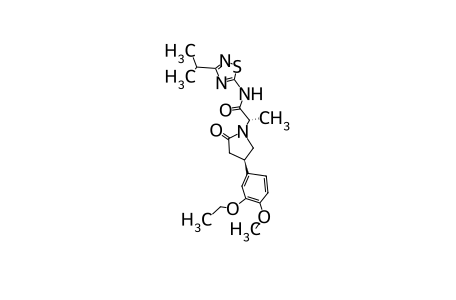 CCOc1cc([C@H]2CC(=O)N([C@@H](C)C(=O)Nc3nc(C(C)C)ns3)C2)ccc1OC